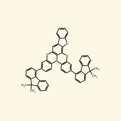 CC1(C)c2ccccc2-c2c(-c3ccc4c(c3)Oc3cc5c(oc6ccccc65)c5c3N4c3ccc(-c4cccc6c4-c4ccccc4C6(C)C)cc3O5)cccc21